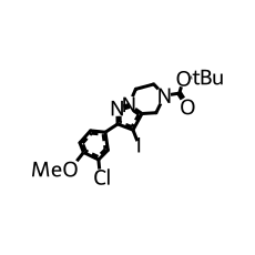 COc1ccc(-c2nn3c(c2I)CN(C(=O)OC(C)(C)C)CC3)cc1Cl